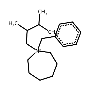 CC(C)C(C)C[N+]1(Cc2ccccc2)CCCCCC1